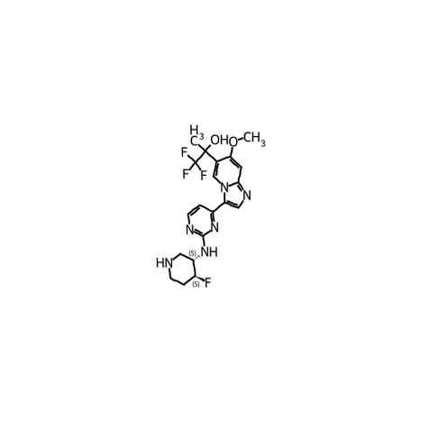 COc1cc2ncc(-c3ccnc(N[C@H]4CNCC[C@@H]4F)n3)n2cc1C(C)(O)C(F)(F)F